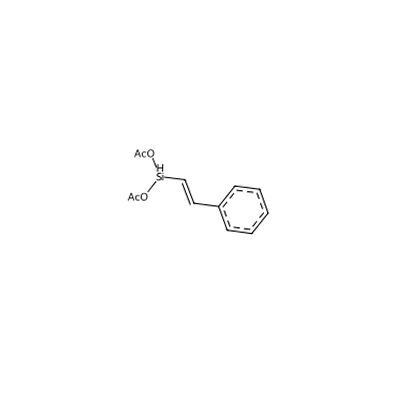 CC(=O)O[SiH](C=Cc1ccccc1)OC(C)=O